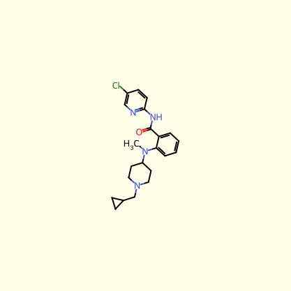 CN(c1ccccc1C(=O)Nc1ccc(Cl)cn1)C1CCN(CC2CC2)CC1